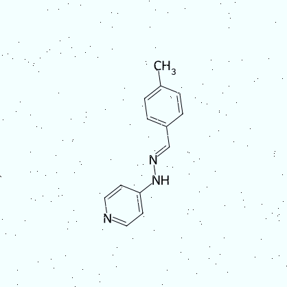 Cc1ccc(/C=N/Nc2ccncc2)cc1